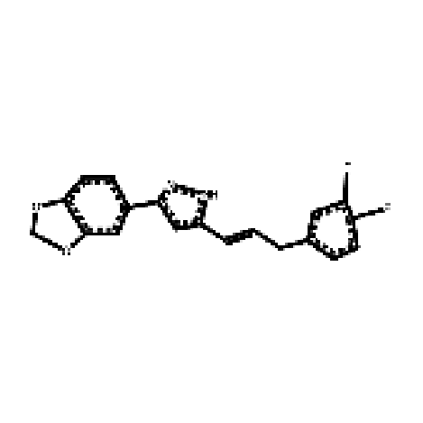 Fc1ccc(C/C=C/c2cc(-c3ccc4c(c3)OCO4)n[nH]2)cc1F